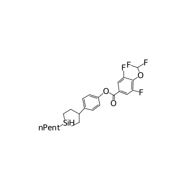 CCCCC[SiH]1CCC(c2ccc(OC(=O)c3cc(F)c(OC(F)F)c(F)c3)cc2)CC1